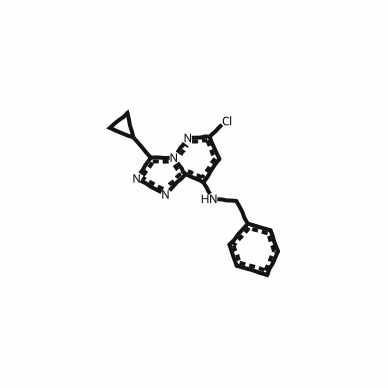 Clc1cc(NCc2ccccc2)c2nnc(C3CC3)n2n1